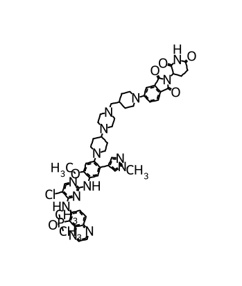 COc1cc(N2CCC(N3CCN(CC4CCN(c5ccc6c(c5)C(=O)N(C5CCC(=O)NC5=O)C6=O)CC4)CC3)CC2)c(-c2cnn(C)c2)cc1Nc1ncc(Cl)c(Nc2ccc3nccnc3c2P(C)(C)=O)n1